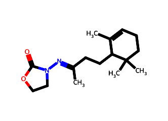 CC1=CCCC(C)(C)C1CC/C(C)=N/N1CCOC1=O